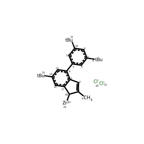 CC1=Cc2c(-c3cc(C(C)(C)C)cc(C(C)(C)C)c3)cc(C(C)(C)C)cc2[CH]1[Zr+2].[Cl-].[Cl-]